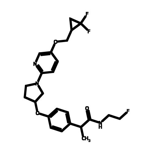 CC(C(=O)NCCF)c1ccc(OC2CCN(c3ccc(OCC4CC4(F)F)cn3)C2)cc1